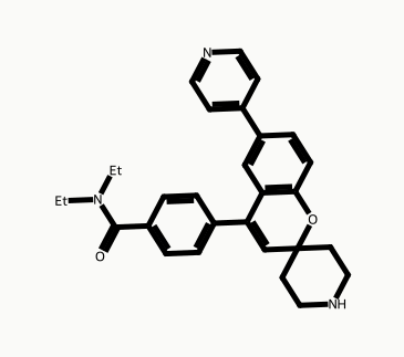 CCN(CC)C(=O)c1ccc(C2=CC3(CCNCC3)Oc3ccc(-c4ccncc4)cc32)cc1